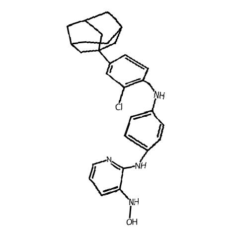 ONc1cccnc1Nc1ccc(Nc2ccc(C34CC5CC(CC(C5)C3)C4)cc2Cl)cc1